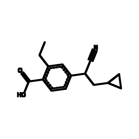 CCc1cc(C(C#N)CC2CC2)ccc1C(=O)O